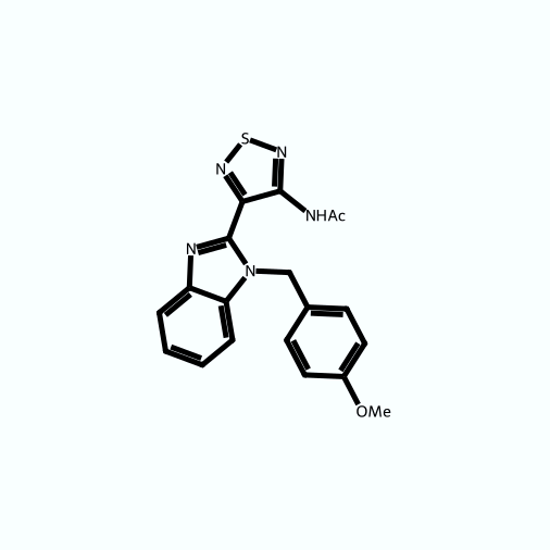 COc1ccc(Cn2c(-c3nsnc3NC(C)=O)nc3ccccc32)cc1